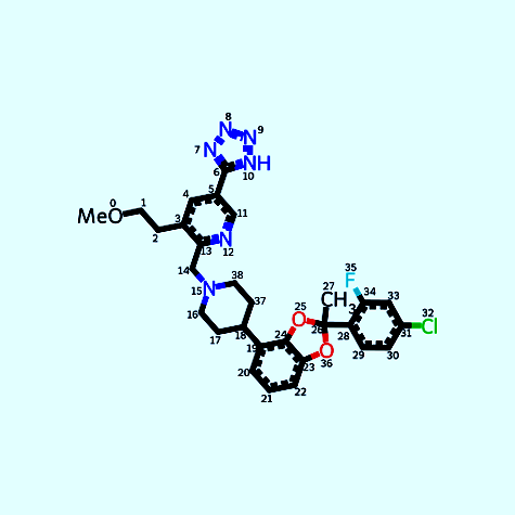 COCCc1cc(-c2nnn[nH]2)cnc1CN1CCC(c2cccc3c2OC(C)(c2ccc(Cl)cc2F)O3)CC1